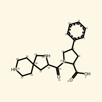 O=C(O)C1CC(c2ccccc2)CN1C(=O)C1CC2(CCNCC2)CN1